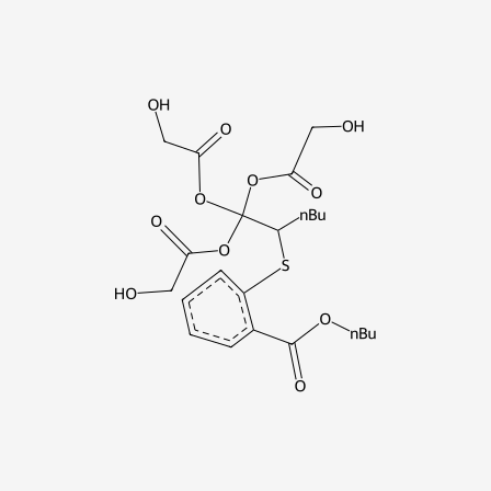 CCCCOC(=O)c1ccccc1SC(CCCC)C(OC(=O)CO)(OC(=O)CO)OC(=O)CO